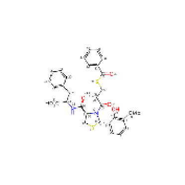 COc1cccc([C@@H]2SC[C@@H](C(=O)NC(Cc3ccccc3)C(=O)O)N2C(=O)[C@H](C)CSC(=O)c2ccccc2)c1O